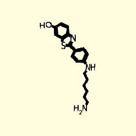 NCCCCCCNc1ccc(-c2nc3ccc(O)cc3s2)cc1